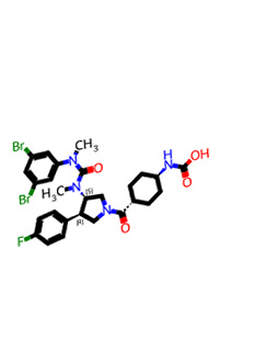 CN(C(=O)N(C)[C@@H]1CN(C(=O)[C@H]2CC[C@H](NC(=O)O)CC2)C[C@H]1c1ccc(F)cc1)c1cc(Br)cc(Br)c1